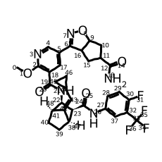 COc1ncc(C2=NOC3CC(C(N)=O)CC23)cc1C(=O)N[C@H]1[C@@H](C(=O)Nc2ccc(F)c(C(F)(F)F)c2)[C@H]2CC[C@@H]1/C2=C\C1CC1